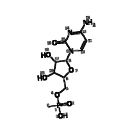 CP(=O)(O)OCC1OC(n2ccc(N)nc2=O)C(O)C1O